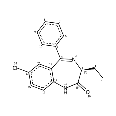 CC[C@@H]1N=C(c2ccccc2)c2cc(Cl)ccc2NC1=O